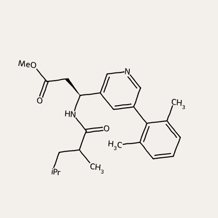 COC(=O)C[C@H](NC(=O)C(C)CC(C)C)c1cncc(-c2c(C)cccc2C)c1